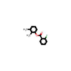 Cc1cccc(OC(=O)c2ccccc2F)c1C